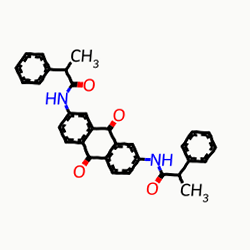 CC(C(=O)Nc1ccc2c(c1)C(=O)c1cc(NC(=O)C(C)c3ccccc3)ccc1C2=O)c1ccccc1